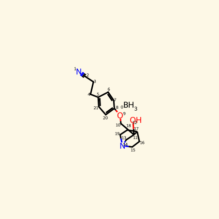 B.N#CCCc1ccc(OCC2(O)CN3CCC2CC3)cc1